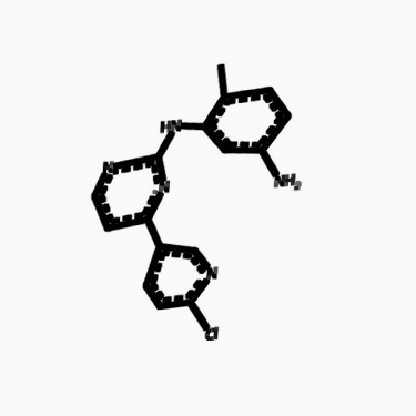 Cc1ccc(N)cc1Nc1nccc(-c2ccc(Cl)nc2)n1